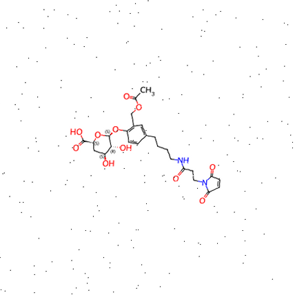 CC(=O)OCc1cc(CCCCNC(=O)CCN2C(=O)C=CC2=O)ccc1O[C@@H]1O[C@H](C(=O)O)C[C@H](O)[C@H]1O